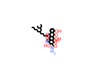 CCCCCC(CCCC(=O)O[C@H]1[C@H]2C(=C(O)[C@]3(O)C(=O)C(C(N)=O)=C(O)[C@@H](N(C)C)[C@H]13)C(=O)c1c(O)cccc1[C@@H]2C)CC(CC)CC